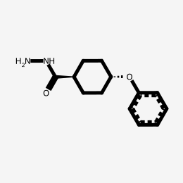 NNC(=O)[C@H]1CC[C@H](Oc2ccccc2)CC1